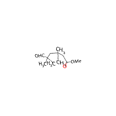 COC(=O)CC(C)(C)CC(C)(C)C=O